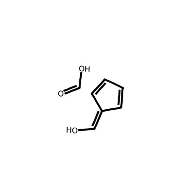 O=CO.OC=C1C=CC=C1